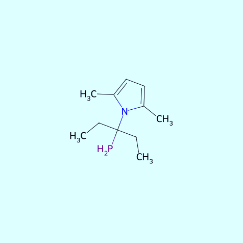 CCC(P)(CC)n1c(C)ccc1C